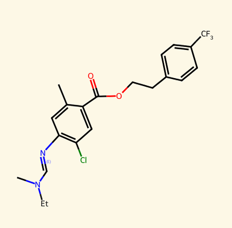 CCN(C)/C=N/c1cc(C)c(C(=O)OCCc2ccc(C(F)(F)F)cc2)cc1Cl